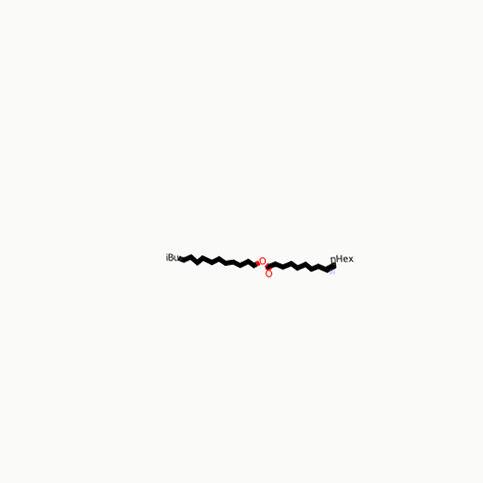 CCCCCC/C=C\CCCCCCCC(=O)OCCCCCCCCCCCC(C)CC